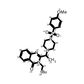 COc1ccc(S(=O)(=O)N2CCN(C(C)c3nc4ccccc4c(=O)n3CC(C)(C)C)CC2)cc1